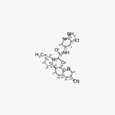 CCc1cc(NC(=O)C(=O)N2C[C@@H](C)CC[C@@H]2c2ccc3cc(C#N)cnc3c2)cnc1N